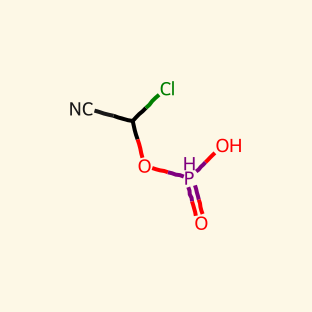 N#CC(Cl)O[PH](=O)O